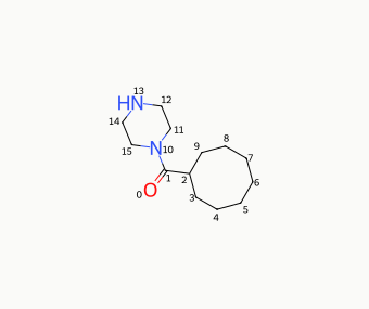 O=C(C1CCCCCCC1)N1CCNCC1